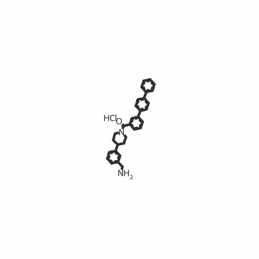 Cl.NCc1cccc(C2CCN(C(=O)c3cccc(-c4ccc(-c5ccccc5)cc4)c3)CC2)c1